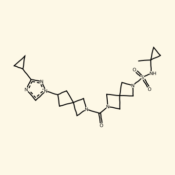 CC1(NS(=O)(=O)N2CC3(CN(C(=O)N4CC5(CC(n6cnc(C7CC7)n6)C5)C4)C3)C2)CC1